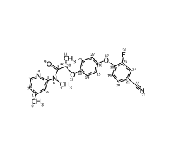 Cc1ccnc(N(C)C(=O)[C@@H](C)Oc2ccc(Oc3ccc(C#N)cc3F)cc2)c1